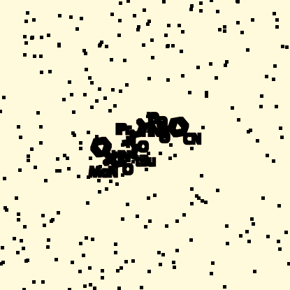 CNC(C(=O)NC(C(=O)N(C)C(C=C(C)C(=O)NS(=O)(=O)c1cccc(C#N)c1)C(C)C)C(C)(C)C)C(C)(C)c1ccccc1